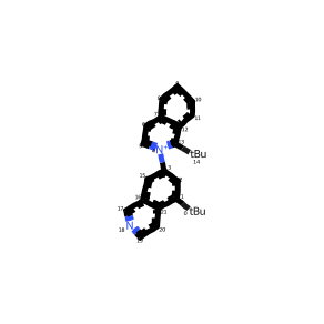 CC(C)(C)c1cc(-[n+]2ccc3ccccc3c2C(C)(C)C)cc2cnccc12